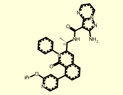 CC(C)Oc1cc(-c2cccc3cc([C@H](C)NC(=O)c4c(N)nn5cccnc45)n(-c4ccccc4)c(=O)c23)ccn1